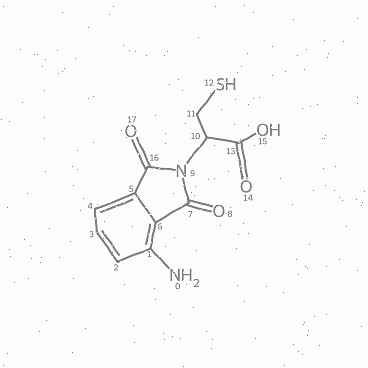 Nc1cccc2c1C(=O)N(C(CS)C(=O)O)C2=O